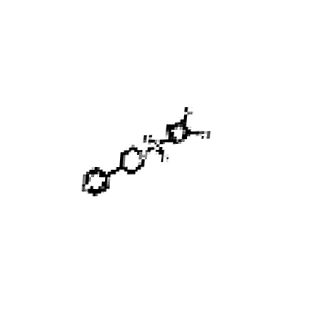 O=S(=O)(c1cc(Cl)c(Cl)s1)N1CCC(c2ccncc2)CC1